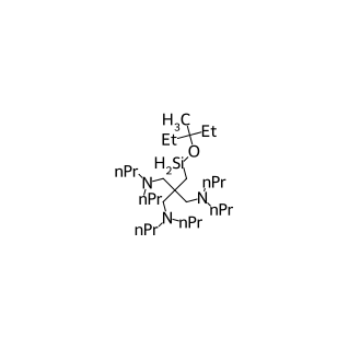 CCCN(CCC)CC(C[SiH2]OC(C)(CC)CC)(CN(CCC)CCC)CN(CCC)CCC